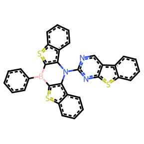 c1ccc(B2c3sc4ccccc4c3N(c3ncc4c(n3)sc3ccccc34)c3c2sc2ccccc32)cc1